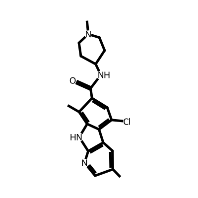 Cc1cnc2[nH]c3c(C)c(C(=O)NC4CCN(C)CC4)cc(Cl)c3c2c1